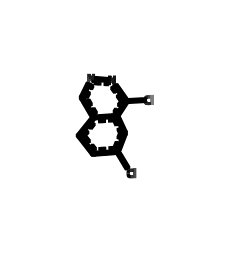 Clc1ccc2cnnc(Cl)c2c1